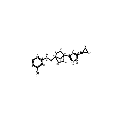 Brc1ccnc(NCC23CCC(c4nc(C5CC5)no4)(CC2)C3)c1